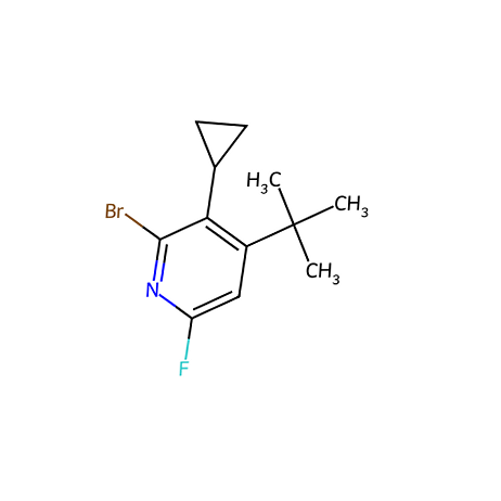 CC(C)(C)c1cc(F)nc(Br)c1C1CC1